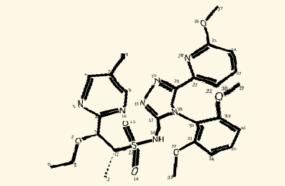 CCO[C@@H](c1ncc(C)cn1)[C@@H](C)S(=O)(=O)Nc1nnc(-c2cccc(OC)n2)n1-c1c(OC)cccc1OC